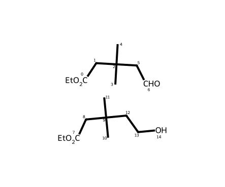 CCOC(=O)CC(C)(C)CC=O.CCOC(=O)CC(C)(C)CCO